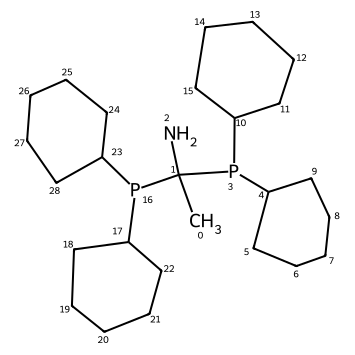 CC(N)(P(C1CCCCC1)C1CCCCC1)P(C1CCCCC1)C1CCCCC1